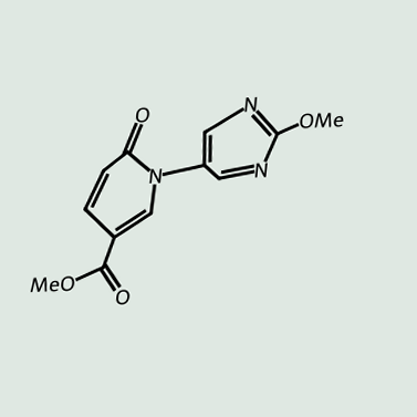 COC(=O)c1ccc(=O)n(-c2cnc(OC)nc2)c1